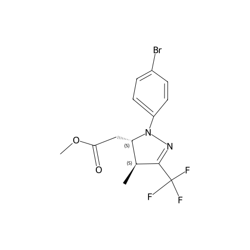 COC(=O)C[C@H]1[C@H](C)C(C(F)(F)F)=NN1c1ccc(Br)cc1